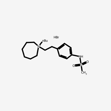 Br.CCCC[N+]1(CCc2ccc(NS(C)(=O)=O)cc2)CCCCCC1